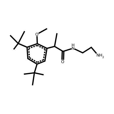 COc1c(C(C)C(=O)NCCN)cc(C(C)(C)C)cc1C(C)(C)C